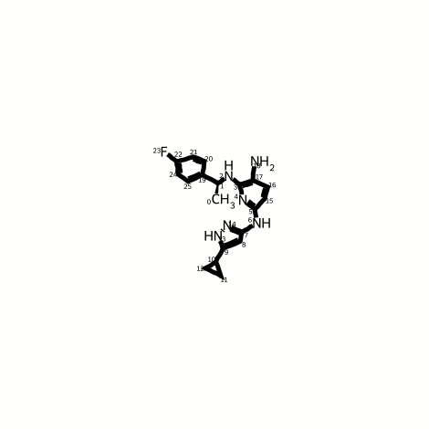 C[C@H](Nc1nc(Nc2cc(C3CC3)[nH]n2)ccc1N)c1ccc(F)cc1